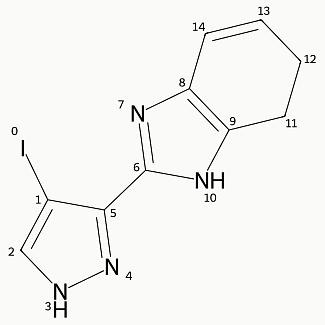 Ic1c[nH]nc1-c1nc2c([nH]1)CCC=C2